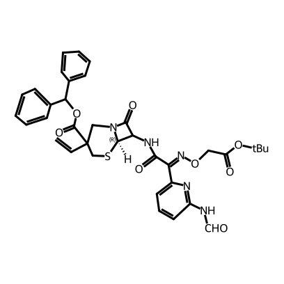 C=CC1(C(=O)OC(c2ccccc2)c2ccccc2)CS[C@@H]2C(NC(=O)C(=NOCC(=O)OC(C)(C)C)c3cccc(NC=O)n3)C(=O)N2C1